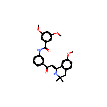 COc1cc(OC)cc(C(=O)Nc2cccc(C(=O)/C=C3\NC(C)(C)Cc4ccc(OC)cc43)c2)c1